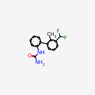 Cc1c([C](F)F)cccc1-c1ccccc1NC(N)=O